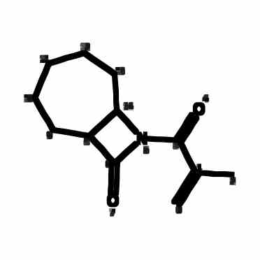 C=C(C)C(=O)N1C(=O)C2CCCCCC21